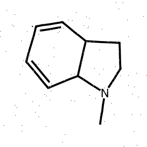 CN1CCC2C=[C]C=CC21